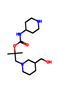 CC(C)(CN1CCCC(CO)C1)OC(=O)NC1CCNCC1